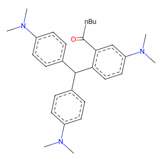 CCCCC(=O)c1cc(N(C)C)ccc1C(c1ccc(N(C)C)cc1)c1ccc(N(C)C)cc1